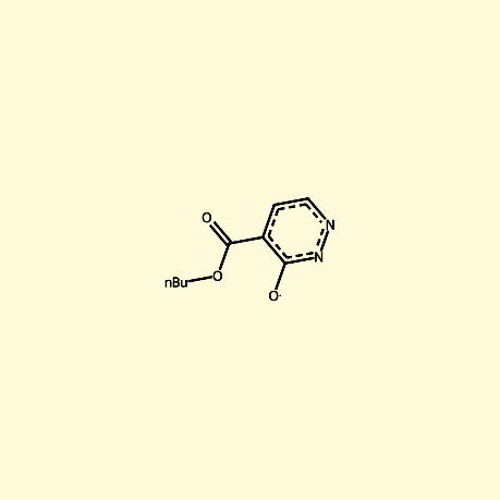 CCCCOC(=O)c1ccnnc1[O]